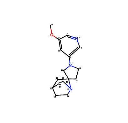 COc1cncc(N2CCC3(CC4CCN3CC4)C2)c1